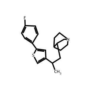 CC(CC1CN2CCC1CC2)c1csc(-c2ccc(F)cc2)c1